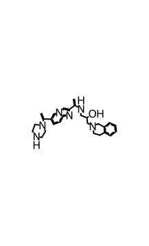 C=C(NCC(O)CN1CCc2ccccc2C1)c1cn2cc(C(=C)N3CCNCC3)ccc2n1